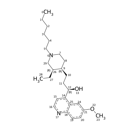 CCCCCCN1CC[C@@H](CC[C@@H](O)c2ccnc3ccc(OC)cc23)[C@@H](CC)C1